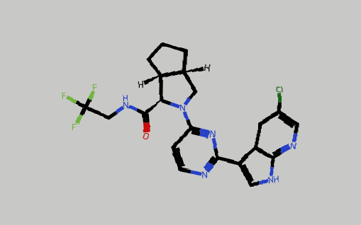 O=C(NCC(F)(F)F)[C@H]1[C@@H]2CCC[C@@H]2CN1c1ccnc(C2=CNC3=NC=C(Cl)CC23)n1